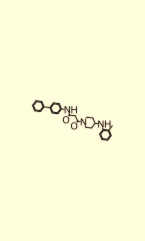 Cc1ccccc1NC1CCN(C(=O)CC(=O)Nc2ccc(-c3ccccc3)cc2)CC1